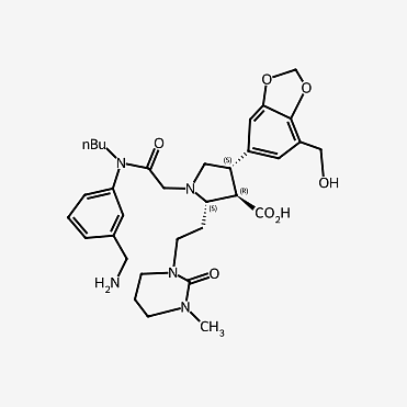 CCCCN(C(=O)CN1C[C@H](c2cc(CO)c3c(c2)OCO3)[C@@H](C(=O)O)[C@@H]1CCN1CCCN(C)C1=O)c1cccc(CN)c1